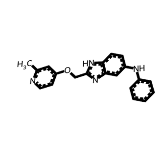 Cc1cc(OCc2nc3cc(Nc4ccccc4)ccc3[nH]2)ccn1